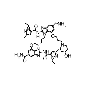 CCn1nc(C)cc1C(=O)Nc1nc2cc(CN)cc(OCCCN3CCC(O)CC3)c2n1CCC[C@H]1COc2cc(C(N)=O)cc3nc(NC(=O)c4cc(C)nn4CC)n1c23